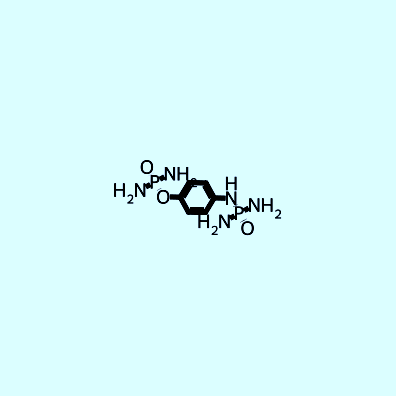 NP(N)(=O)Nc1ccc(OP(N)(N)=O)cc1